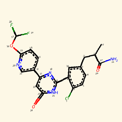 CC(Cc1ccc(Cl)c(-c2nc(-c3ccc(OC(F)F)nc3)cc(=O)[nH]2)c1)C(N)=O